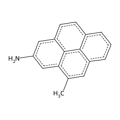 Cc1cc2cccc3ccc4cc(N)cc1c4c32